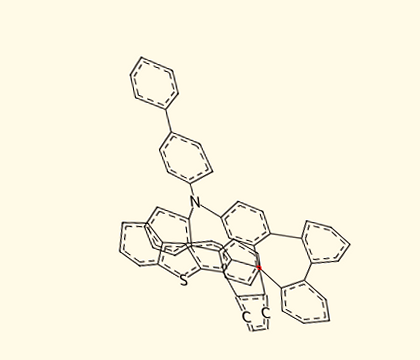 c1ccc(-c2ccc(N(c3ccc4c(c3)C3(c5ccccc5-c5ccccc5-4)c4ccccc4-c4c3ccc3c4sc4ccccc43)c3ccccc3-c3ccccc3)cc2)cc1